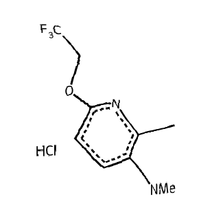 CNc1ccc(OCC(F)(F)F)nc1C.Cl